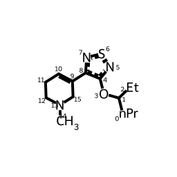 CCCC(CC)Oc1nsnc1C1=CCCN(C)C1